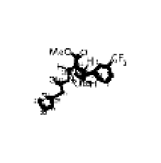 COC(=O)N1[C@H](c2cccc(C(F)(F)F)c2)[C@@H]2C=C[C@H]1N(C(=O)Cc1cccs1)O2